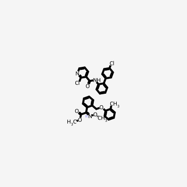 CO/N=C(/C(=O)OC)c1ccccc1COc1ccccc1C.O=C(Nc1ccccc1-c1ccc(Cl)cc1)c1cccnc1Cl